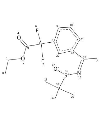 CCOC(=O)C(F)(F)c1cccc(/C(C)=N\[S+]([O-])C(C)(C)C)c1